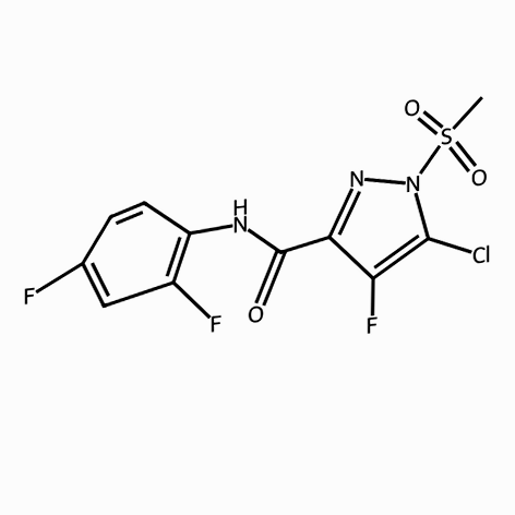 CS(=O)(=O)n1nc(C(=O)Nc2ccc(F)cc2F)c(F)c1Cl